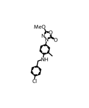 COc1nn(-c2ccc(NCc3ccc(Cl)cc3)c(C)c2)c(=O)o1